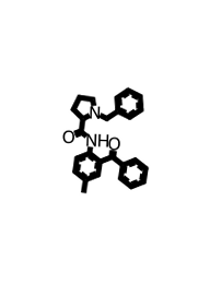 Cc1ccc(NC(=O)C2CCCN2Cc2ccccc2)c(C(=O)c2ccccc2)c1